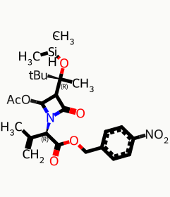 C=C(C)[C@H](C(=O)OCc1ccc([N+](=O)[O-])cc1)N1C(=O)C([C@@](C)(O[SiH](C)C)C(C)(C)C)C1OC(C)=O